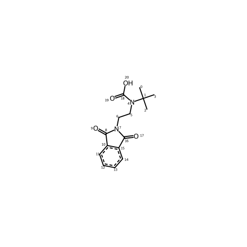 CC(C)(C)N(CCN1C(=O)c2ccccc2C1=O)C(=O)O